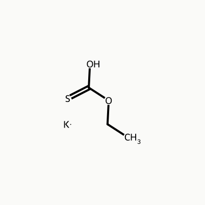 CCOC(O)=S.[K]